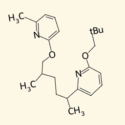 Cc1cccc(OCC(C)CCC(C)c2cccc(OCC(C)(C)C)n2)n1